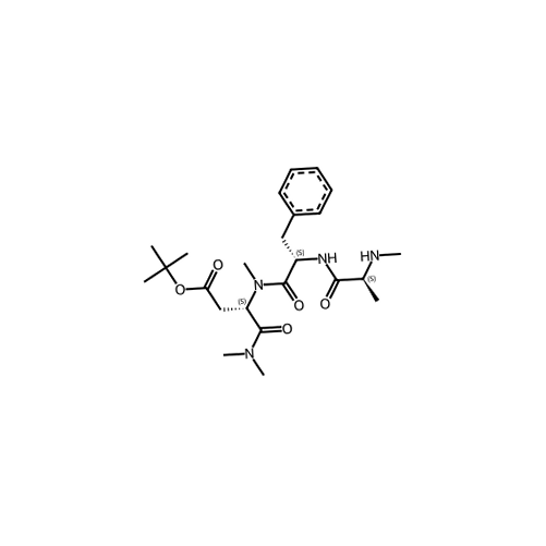 CN[C@@H](C)C(=O)N[C@@H](Cc1ccccc1)C(=O)N(C)[C@@H](CC(=O)OC(C)(C)C)C(=O)N(C)C